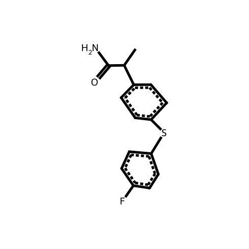 CC(C(N)=O)c1ccc(Sc2ccc(F)cc2)cc1